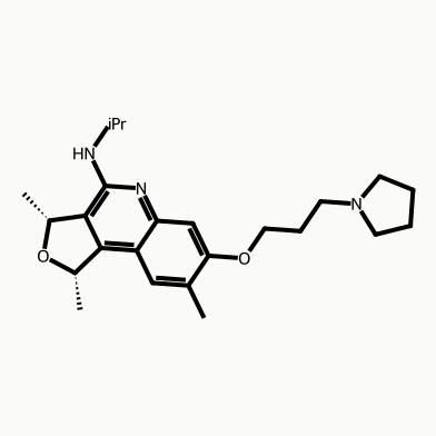 Cc1cc2c3c(c(NC(C)C)nc2cc1OCCCN1CCCC1)[C@@H](C)O[C@H]3C